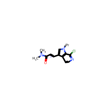 CC(C)n1cc(/C=C/C(=O)N(C)C)c2ccnc(Cl)c21